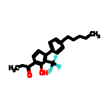 CCCCCc1ccc(-c2ccc(C(=O)CC)c(O)c2C(F)(F)F)cc1